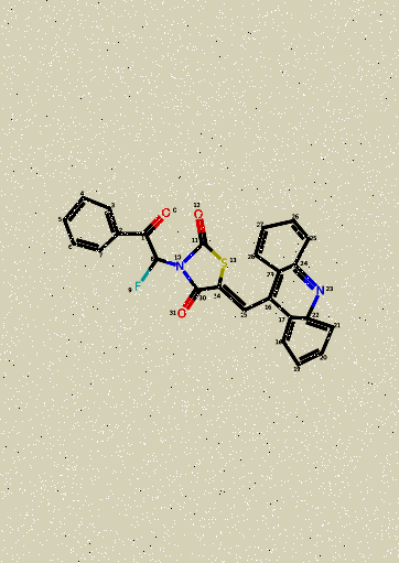 O=C(c1ccccc1)C(F)N1C(=O)SC(=Cc2c3ccccc3nc3ccccc23)C1=O